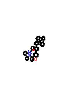 c1ccc(-c2nc(-c3ccccc3-c3ccccc3)nc(-c3cccc4oc5ccc(-c6ccc(-c7ccc8c(c7)C7(c9ccccc9-c9ccccc97)c7ccccc7-8)cc6)cc5c34)n2)cc1